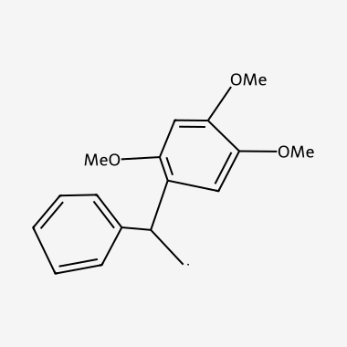 [CH2]C(c1ccccc1)c1cc(OC)c(OC)cc1OC